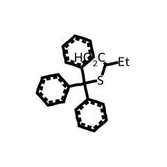 CCC(SC(c1ccccc1)(c1ccccc1)c1ccccc1)C(=O)O